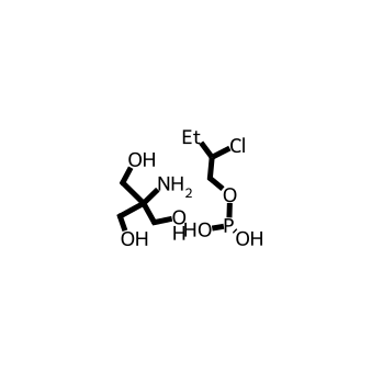 CCC(Cl)COP(O)O.NC(CO)(CO)CO